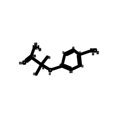 CC(C)(Oc1ccc([N+](=O)[O-])cc1)C(N)=O